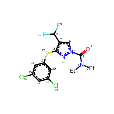 CCN(CC)C(=O)n1cc(C(F)F)c(Sc2cc(Cl)cc(Cl)c2)n1